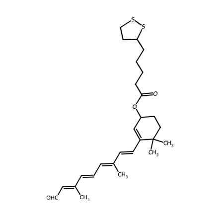 CC(/C=C/C=C(C)/C=C/C1=CC(OC(=O)CCCCC2CCSS2)CCC1(C)C)=C\C=O